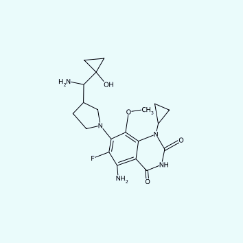 COc1c(N2CCC(C(N)C3(O)CC3)C2)c(F)c(N)c2c(=O)[nH]c(=O)n(C3CC3)c12